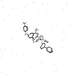 C=C(C)c1ccc(Oc2ccc3nc(C(=O)N[C@@H](Cc4ccc(-c5ccccc5)cc4)C(=O)OC)nc(SCC)c3c2)cc1